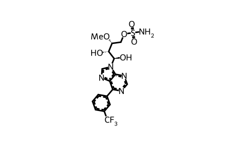 CO[C@H](COS(N)(=O)=O)[C@@H](O)[C@@H](O)n1cnc2c(-c3cccc(C(F)(F)F)c3)ncnc21